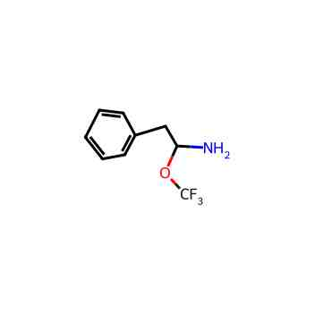 NC(Cc1ccccc1)OC(F)(F)F